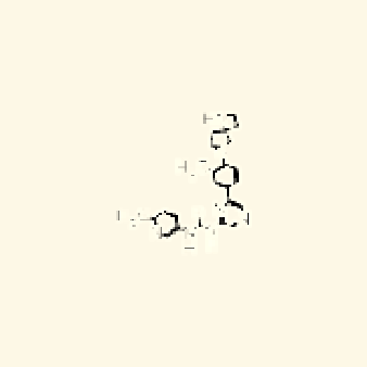 Cc1ccc(NC(=O)Nc2cncc(-c3ccc(N4CCC5(CCN5)C4)c(C)c3)n2)cn1